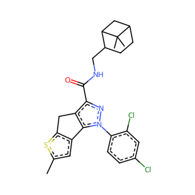 Cc1cc2c(s1)Cc1c(C(=O)NCC3CCC4CC3C4(C)C)nn(-c3ccc(Cl)cc3Cl)c1-2